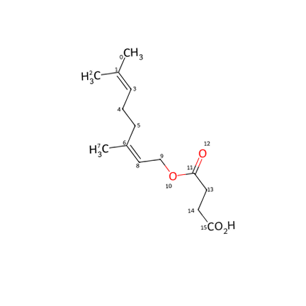 CC(C)=CCCC(C)=CCOC(=O)CCC(=O)O